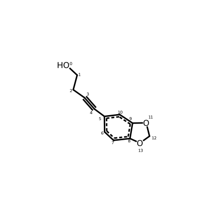 OCCC#Cc1ccc2c(c1)OCO2